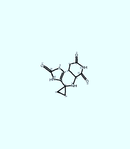 O=C1CCC(NC2(c3csc(=O)[nH]3)CC2)C(=O)N1